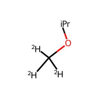 [2H]C([2H])([2H])OC(C)C